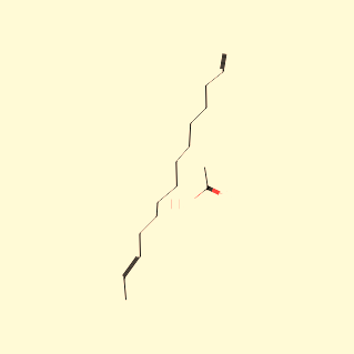 C=CCCCCCCCCC/C=C/C.CC(=O)O